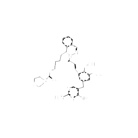 COc1cc(Cc2cnc(N)nc2N)cc(C=CC(=O)N2N=Cc3ccccc3C2CCCCOC(=O)N2CCOCC2)c1OC